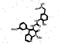 CCCCn1c(=O)c(NC(=O)Nc2cc(CN(CCC)CCC)ccc2C(C)(C)C)c(-c2cccc(OC)c2)c2cccnc21